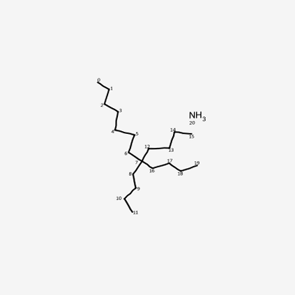 CCCCCCCC(CCCC)(CCCC)CCCC.N